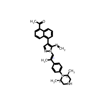 C=Nc1c(-c2cccc3c(C(C)=O)cccc23)cnn1/C=C(\C)c1ccc(N2[C@H](C)CNC[C@@H]2C)cc1